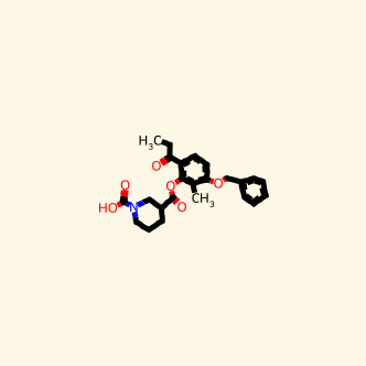 CCC(=O)c1ccc(OCc2ccccc2)c(C)c1OC(=O)C1CCCN(C(=O)O)C1